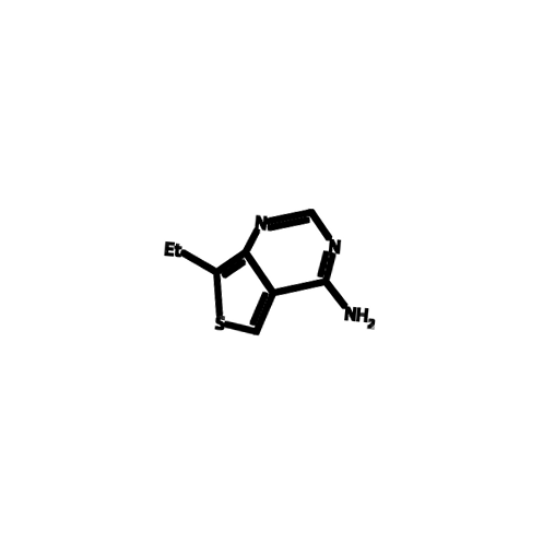 CCc1scc2c(N)ncnc12